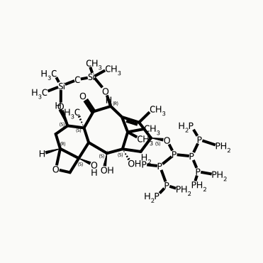 CC1=C2[C@H]3O[Si](C)(C)C[Si](C)(C)O[C@H]4C[C@H]5OC[C@@]5(O)C([C@H](O)[C@](O)(C[C@@H]1OP(P(P)P(P)P)P(P(P)P)P(P)P)C2(C)C)[C@]4(C)C3=O